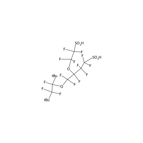 CC(C)(C)C(F)(F)C(F)(OC(F)(F)C(F)(OC(F)(F)C(F)(F)S(=O)(=O)O)C(F)(F)C(F)(F)S(=O)(=O)O)C(C)(C)C